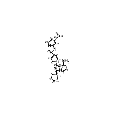 Nc1nccn2c(C3CCCCC3)nc(-c3ccc(C(=O)Nc4cc(C5CC5)ccn4)cc3)c12